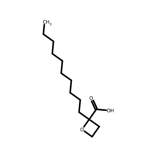 CCCCCCCCCCC1(C(=O)O)CCO1